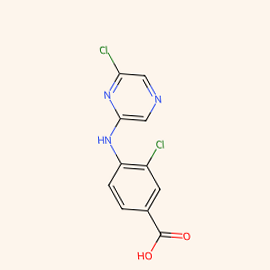 O=C(O)c1ccc(Nc2cncc(Cl)n2)c(Cl)c1